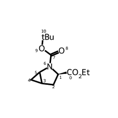 CCOC(=O)[C@H]1CC2CC2N1C(=O)OC(C)(C)C